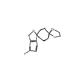 Fc1ccc2c(c1)COC21CCC2(CC1)OCCO2